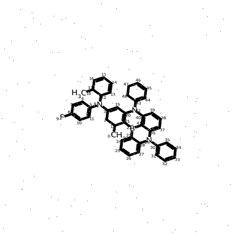 CC1CC(N(c2ccc(F)cc2)C2C=CC=CC2C)=CC2=C1B1c3ccccc3N(c3ccccc3)c3cccc(c31)N2C1=CC=CCC1